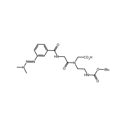 CN(C)N=Nc1cccc(C(=O)NCC(=O)N(CCNC(=O)OC(C)(C)C)CC(=O)O)c1